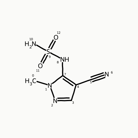 Cn1ncc(C#N)c1NS(N)(=O)=O